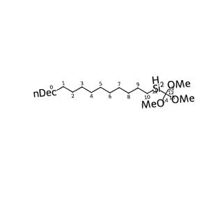 CCCCCCCCCCCCCCCCCCCC[SiH2]C(OC)(OC)OC